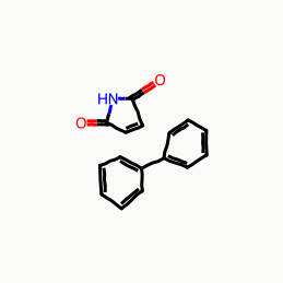 O=C1C=CC(=O)N1.c1ccc(-c2ccccc2)cc1